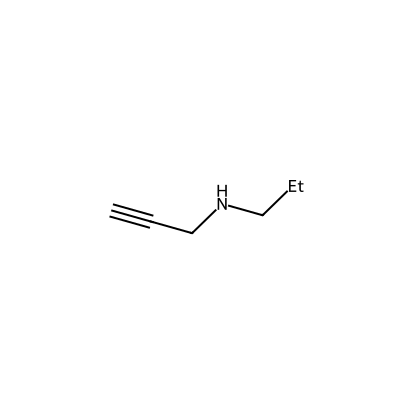 C#CCNCC[CH2]